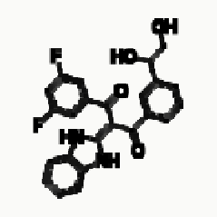 O=C(C(C(=O)c1cccc(C(O)CO)c1)=C1Nc2ccccc2N1)c1cc(F)cc(F)c1